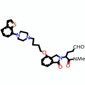 CNC(=O)C(CCC=O)N1Cc2c(OCCCCN3CCN(c4cccc5ccsc45)CC3)cccc2C1=O